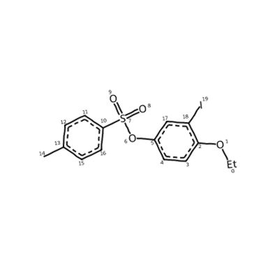 CCOc1ccc(OS(=O)(=O)c2ccc(C)cc2)cc1I